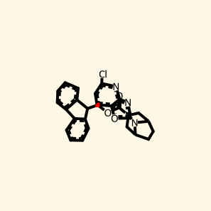 O=C(OCC1c2ccccc2-c2ccccc21)N1CC2CCC(C1)N2c1nc2nc(Cl)ccc2o1